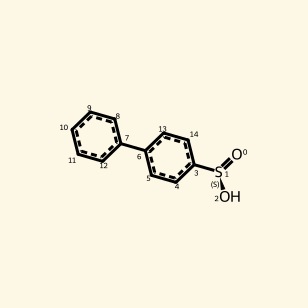 O=[S@@](O)c1ccc(-c2ccccc2)cc1